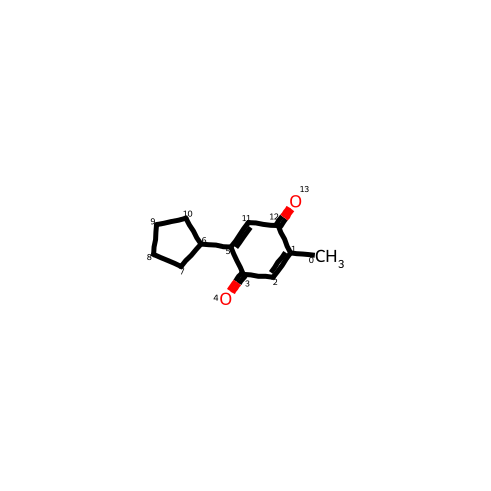 CC1=CC(=O)C(C2CCCC2)=CC1=O